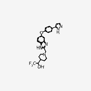 OC(C1CCN(Cc2nc3cc(Oc4ccc(-c5ccn[nH]5)cc4)ccc3[nH]2)CC1)C(F)(F)F